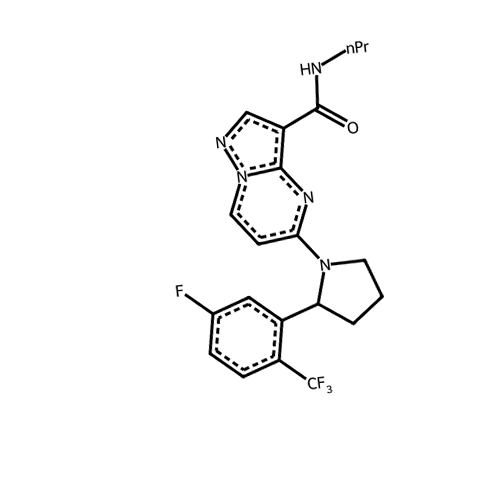 CCCNC(=O)c1cnn2ccc(N3CCCC3c3cc(F)ccc3C(F)(F)F)nc12